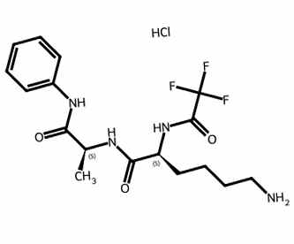 C[C@H](NC(=O)[C@H](CCCCN)NC(=O)C(F)(F)F)C(=O)Nc1ccccc1.Cl